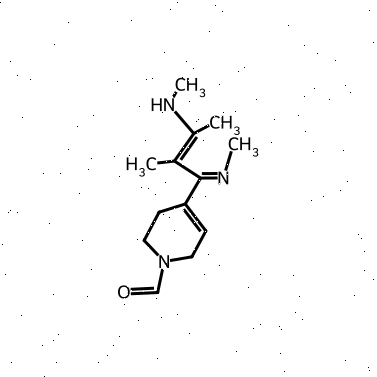 C/N=C(C1=CCN(C=O)CC1)\C(C)=C(/C)NC